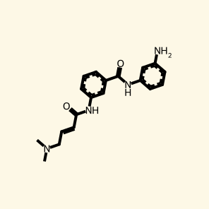 CN(C)C/C=C/C(=O)Nc1cccc(C(=O)Nc2cccc(N)c2)c1